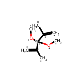 C=C(C)[Si](OC)(OC)C(=C)C